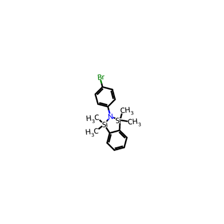 C[Si]1(C)c2ccccc2[Si](C)(C)N1c1ccc(Br)cc1